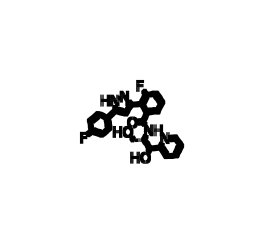 O=C(N[C@@H](CO)C(O)c1ccccn1)c1cccc(F)c1-c1cc(-c2ccc(F)cc2)[nH]n1